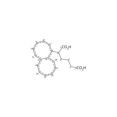 O=C(O)CCCC(C(=O)O)c1cccccc2ccccccc1-2